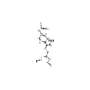 C=CCN(CC=C)CCc1c[nH]c2cc(OC(C)=O)ccc12